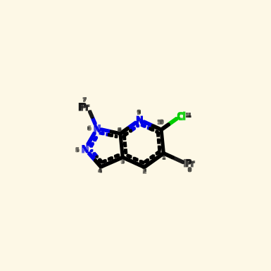 CC(C)c1cc2cnn(C(C)C)c2nc1Cl